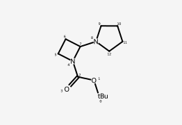 CC(C)(C)OC(=O)N1CCC1N1CCCC1